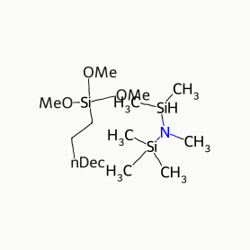 CCCCCCCCCCCC[Si](OC)(OC)OC.CN([SiH](C)C)[Si](C)(C)C